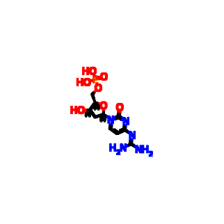 NC(N)=Nc1ccn([C@H]2C[C@@H](O)[C@@H](COP(=O)(O)O)O2)c(=O)n1